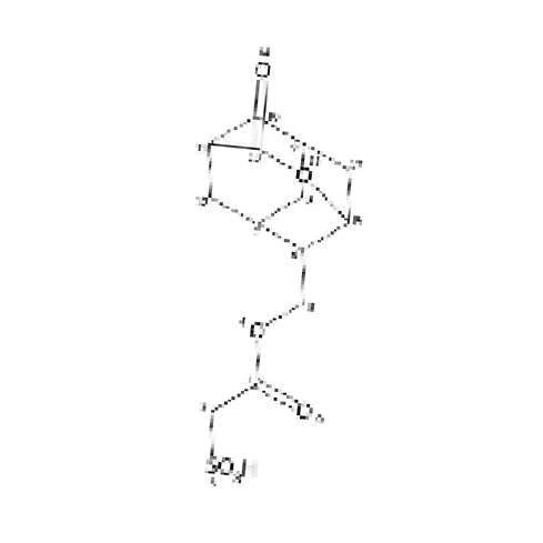 O=C(CS(=O)(=O)O)OCC1C2CC3CC(C2)C(=O)OC1C3